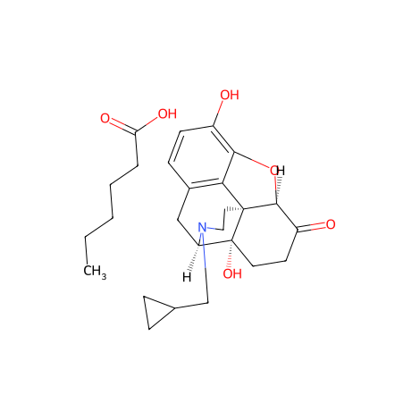 CCCCCC(=O)O.O=C1CC[C@@]2(O)[C@H]3Cc4ccc(O)c5c4[C@@]2(CCN3CC2CC2)[C@H]1O5